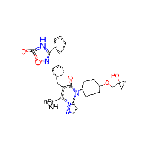 CCCc1c(Cc2ccc(-c3ccccc3-c3noc(=O)[nH]3)cc2)c(=O)n(C2CCC(OCC3(O)CC3)CC2)c2ccnn12.[KH]